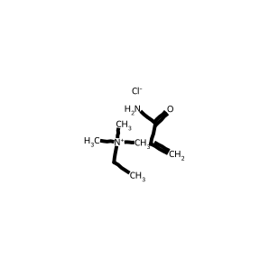 C=CC(N)=O.CC[N+](C)(C)C.[Cl-]